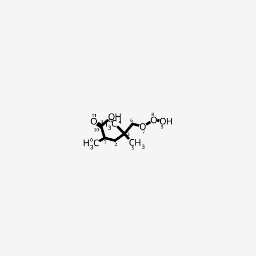 CC(CC(C)(C)COOO)C(=O)O